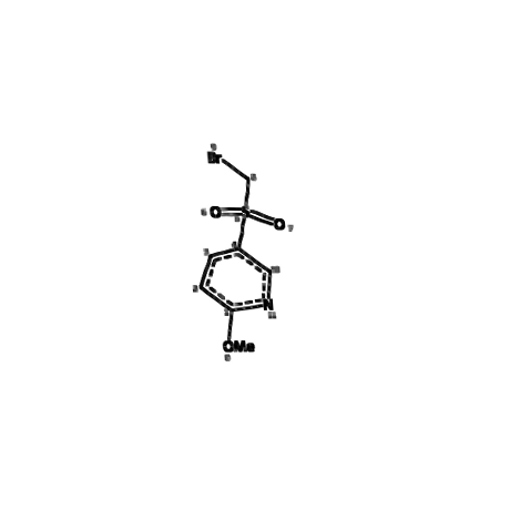 COc1ccc(S(=O)(=O)CBr)cn1